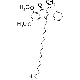 CCCCCCCCCCCCCCn1c(-c2ccccc2)c(OC)c(=O)c2c(OC)cc(OC)cc21